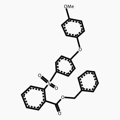 COc1ccc(Oc2ccc(S(=O)(=O)c3ccccc3C(=O)OCc3ccccc3)cc2)cc1